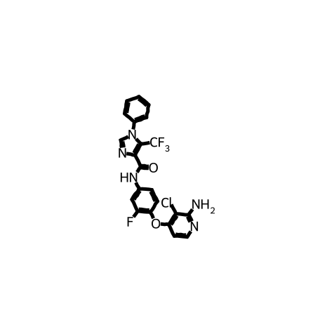 Nc1nccc(Oc2ccc(NC(=O)c3ncn(-c4ccccc4)c3C(F)(F)F)cc2F)c1Cl